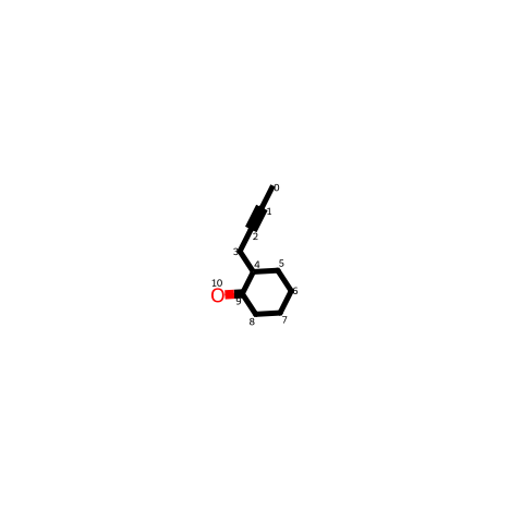 CC#CCC1CCCCC1=O